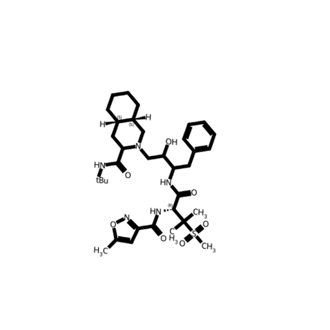 Cc1cc(C(=O)N[C@H](C(=O)NC(Cc2ccccc2)C(O)CN2C[C@H]3CCCC[C@H]3CC2C(=O)NC(C)(C)C)C(C)(C)S(C)(=O)=O)no1